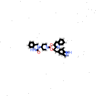 Cc1cc(CC(OC(=O)N2CCC(N3Cc4ccccc4NC3=O)CC2)c2ccc3ccccc3n2)cc2cn[nH]c12